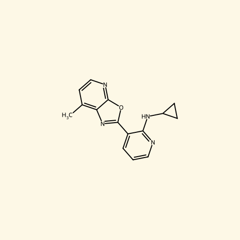 Cc1ccnc2oc(-c3cccnc3NC3CC3)nc12